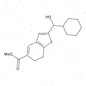 COC(=O)C1=Cc2cc(C(O)C3CCCCC3)sc2CC1